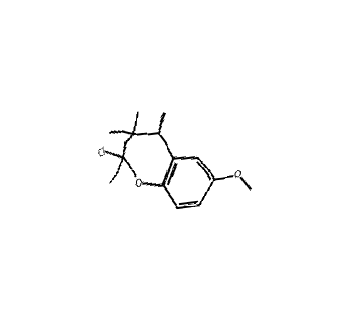 COc1ccc2c(c1)C(C)C(C)(C)C(C)(Cl)O2